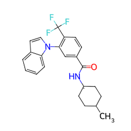 CC1CC[C](NC(=O)c2ccc(C(F)(F)F)c(-n3ccc4ccccc43)c2)CC1